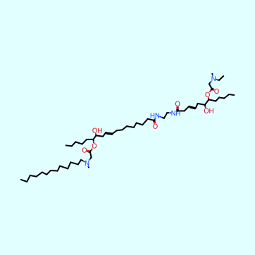 CCCCCCCCCCCCCN(C)CC(=O)OC(CCCCC)C(O)C/C=C/CCCCCCCC(=O)NCCNC(=O)C/C=C/CC(O)C(CCCCC)OC(=O)CN(C)CC